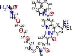 CCN(CC)c1ccc(NC(=O)c2cccc(C(=O)N(C)CCN(C)CCOCCOCCOCCNC(N)=O)c2)c(-c2cc(C(=O)N[C@H]3CCCc4ccccc43)ccn2)c1